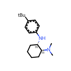 CN(C)[C@H]1CCCC[C@@H]1Nc1ccc(C(C)(C)C)cc1